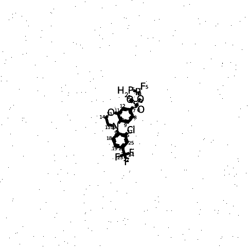 O=S(=O)(OP(F)P)c1ccc2c(c1)OCCN2c1ccc(C(F)(F)F)cc1Cl